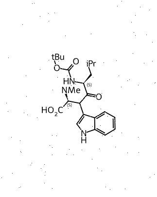 CN[C@H](C(=O)O)C(C(=O)[C@H](CC(C)C)NC(=O)OC(C)(C)C)c1c[nH]c2ccccc12